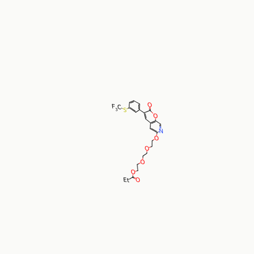 CCC(=O)OCCOCCOCCOc1cc2cc(-c3cccc(SC(F)(F)F)c3)c(=O)oc2cn1